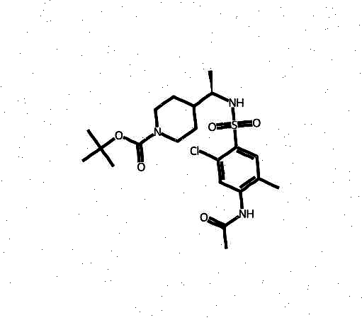 CC(=O)Nc1cc(Cl)c(S(=O)(=O)N[C@H](C)C2CCN(C(=O)OC(C)(C)C)CC2)cc1C